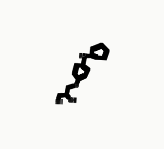 OC(CS)COc1ccc(Nc2ccccc2)cc1